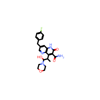 CC(c1c(C(N)=O)c(=O)[nH]c2cc(Cc3ccc(F)cc3)cnc12)C(O)N1CCOCC1